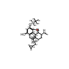 CN[C@H]1CC[C@H]2[C@H]3Cc4c(O)cc(O[Si](C)(C)C(C)(C)C)c5c4[C@@]2(CCN3CC2CC2)[C@H]1O5